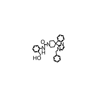 O=C(Nc1ccccc1CO)N1CCC(c2ccccc2)(c2nccn2Cc2ccccc2)CC1